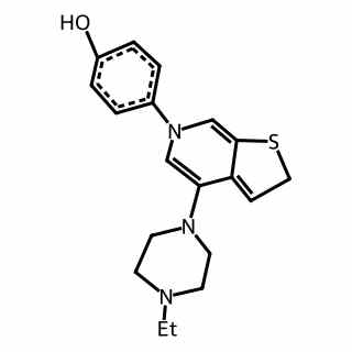 CCN1CCN(C2=CN(c3ccc(O)cc3)C=C3SCC=C32)CC1